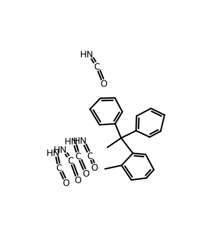 Cc1ccccc1C(C)(c1ccccc1)c1ccccc1.N=C=O.N=C=O.N=C=O.N=C=O.N=C=O